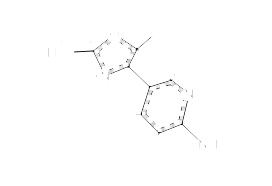 CCc1oc(C)nc1-c1ccc(N)nc1